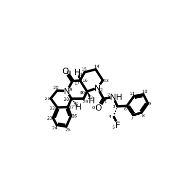 O=C(N[C@@H](CF)c1ccccc1)N1CCC[C@H]2C(=O)N3CCc4ccccc4[C@@H]3C[C@H]21